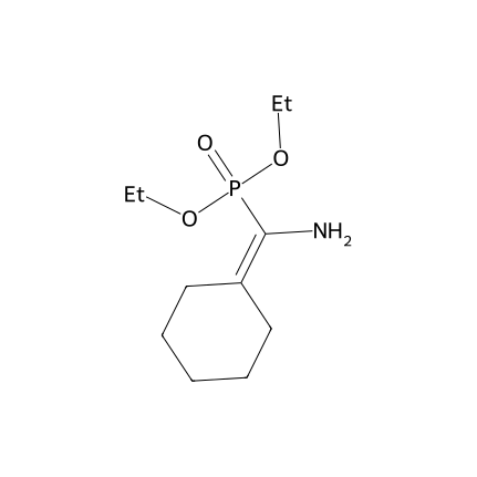 CCOP(=O)(OCC)C(N)=C1CCCCC1